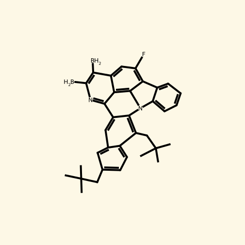 Bc1nc2c3cc4cc(CC(C)(C)C)ccc4c(CC(C)(C)C)c3n3c4ccccc4c4c(F)cc(c1B)c2c43